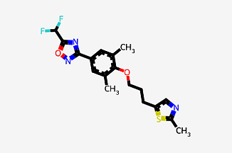 Cc1ncc(CCCOc2c(C)cc(-c3noc(C(F)F)n3)cc2C)s1